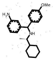 COc1ccc(C(N[C@@H](C)C2CCCCC2)c2cccc(N)c2)cc1